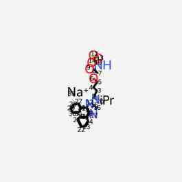 CC(C)N(CCCCOCC(=O)NS(=O)(=O)[O-])c1cnc(-c2ccccc2)c(-c2ccccc2)n1.[Na+]